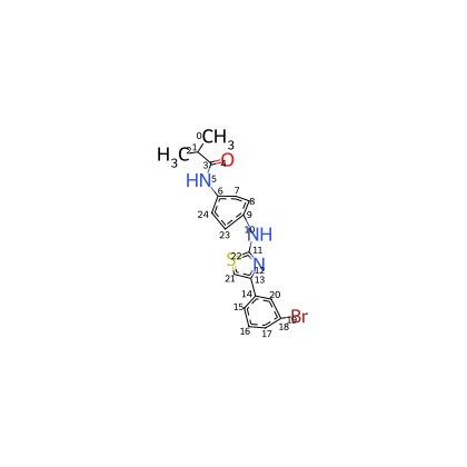 CC(C)C(=O)Nc1ccc(Nc2nc(-c3cccc(Br)c3)cs2)cc1